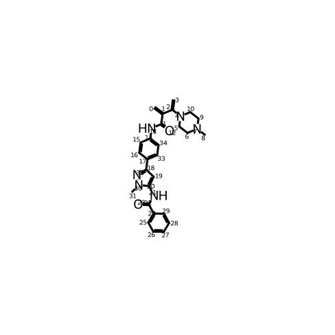 C=C(C(=C)N1CCN(C)CC1)C(=O)Nc1ccc(-c2cc(NC(=O)c3ccccc3)n(C)n2)cc1